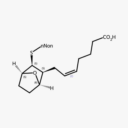 CCCCCCCCCS[C@H]1[C@@H](C/C=C\CCCC(=O)O)[C@H]2CC[C@@H]1O2